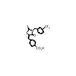 O=C(O)c1ccc(/C=C2/SC(=S)N(Cc3cccc(C(F)(F)F)c3)C2=O)cc1